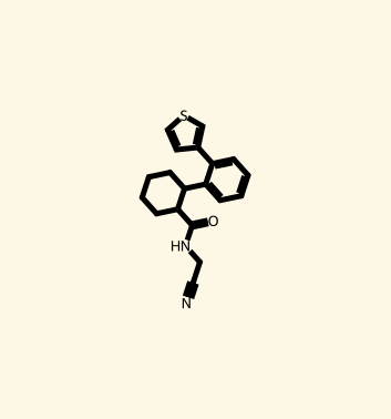 N#CCNC(=O)C1CCCCC1c1ccccc1-c1ccsc1